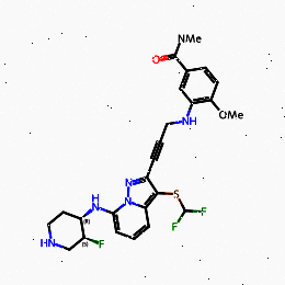 CNC(=O)c1ccc(OC)c(NCC#Cc2nn3c(N[C@@H]4CCNC[C@@H]4F)cccc3c2SC(F)F)c1